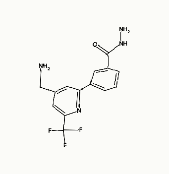 NCc1cc(-c2cccc(C(=O)NN)c2)nc(C(F)(F)F)c1